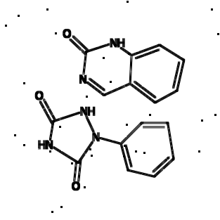 O=c1[nH]c(=O)n(-c2ccccc2)[nH]1.O=c1ncc2ccccc2[nH]1